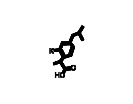 CC(C)Cc1ccc(C(C)C(=O)O)[c]([K])c1